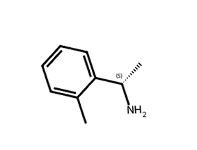 Cc1ccccc1[C@H](C)N